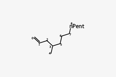 C=CCC(C)CCCCCCCC